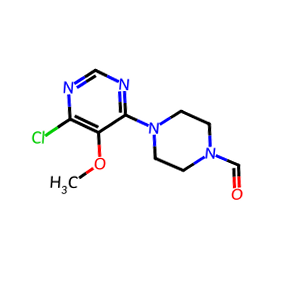 COc1c(Cl)ncnc1N1CCN(C=O)CC1